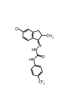 CC1Cc2cc(Cl)ccc2C1=NNC(=O)Nc1ccc(C(F)(F)F)cc1